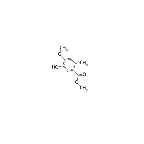 COC(=O)c1cc(O)c(OC)cc1C